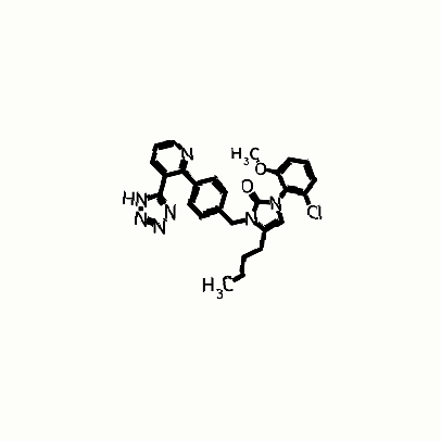 CCCCc1cn(-c2c(Cl)cccc2OC)c(=O)n1Cc1ccc(-c2ncccc2-c2nnn[nH]2)cc1